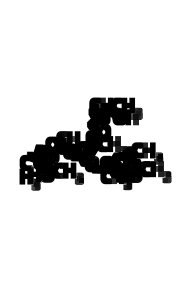 CCC(CC(=O)OC(C)COCC(COCC(C)OC(=O)CC(CC)OCC(C)O)OCC(C)OC(=O)CC(CC)OCC(C)O)OCC(C)O